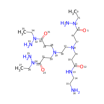 CCN(N)C(=O)CCN(CCC(=O)NCCN)CCN(CCC(=O)N(N)CC)CCC(=O)N(N)CC